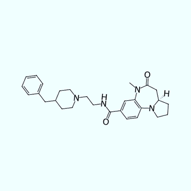 CN1C(=O)C[C@H]2CCCN2c2ccc(C(=O)NCCN3CCC(Cc4ccccc4)CC3)cc21